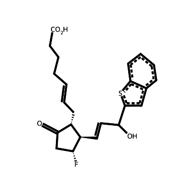 O=C(O)CCCC=CC[C@H]1C(=O)C[C@@H](F)[C@@H]1C=CC(O)c1cc2ccccc2s1